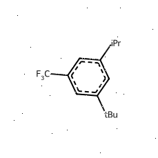 CC(C)c1cc(C(C)(C)C)cc(C(F)(F)F)c1